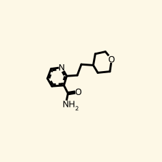 NC(=O)c1cccnc1CCC1CCOCC1